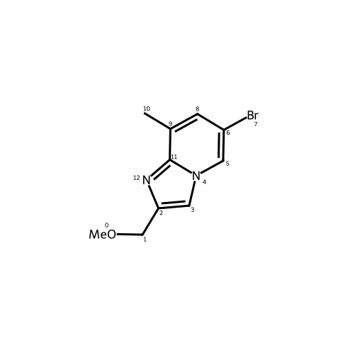 COCc1cn2cc(Br)cc(C)c2n1